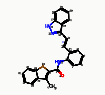 Cc1c(C(=O)Nc2ccccc2/C=C/c2n[nH]c3ccccc23)sc2ccccc12